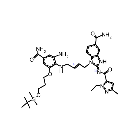 CCn1nc(C)cc1C(=O)/N=c1\[nH]c2cc(C(N)=O)ccc2n1C/C=C/CNc1c(N)cc(C(N)=O)cc1OCCCO[Si](C)(C)C(C)(C)C